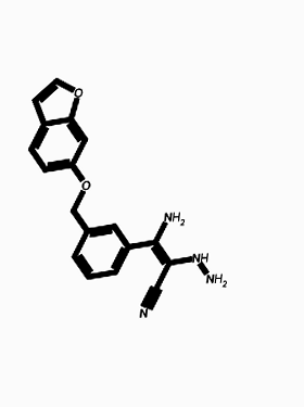 N#C/C(NN)=C(/N)c1cccc(COc2ccc3ccoc3c2)c1